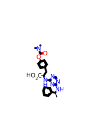 C[C@H](Nc1ncnc(N[C@@H](Cc2ccc(OC(=O)N(C)C)cc2)C(=O)O)n1)c1ccccc1